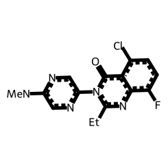 CCc1nc2c(F)ccc(Cl)c2c(=O)n1-c1cnc(NC)cn1